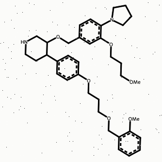 COCCCOc1cc(COC2CNCCC2c2ccc(OCCCOCc3ccccc3OC)cc2)ccc1N1CCCC1